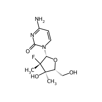 C[C@@]1(O)[C@@H](CO)O[C@@H](n2ccc(N)nc2=O)[C@@]1(C)F